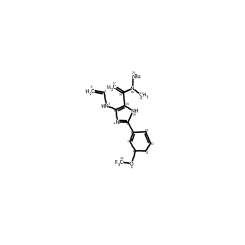 C=CNc1nc(C2=CC(OC(F)(F)F)CC=C2)[nH]c1C(=C)N(C)CCCC